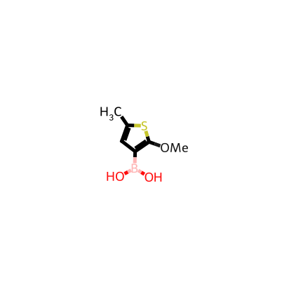 COc1sc(C)cc1B(O)O